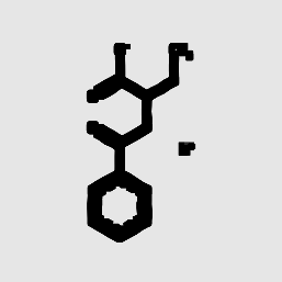 CCC(CC(=O)c1ccccc1)C(=O)[O-].[Li+]